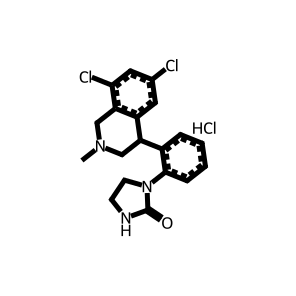 CN1Cc2c(Cl)cc(Cl)cc2C(c2ccccc2N2CCNC2=O)C1.Cl